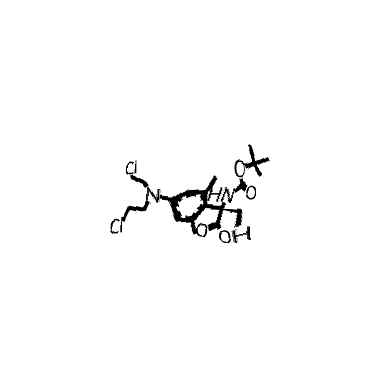 CC[C@@](NC(=O)OC(C)(C)C)(C(=O)O)c1c(C)cc(N(CCCl)CCCl)cc1C